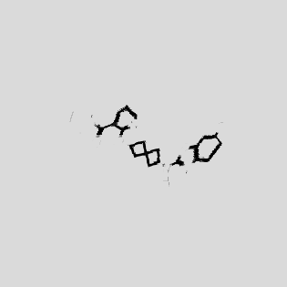 NC(=O)c1cccnc1O[C@H]1CC2(C[C@H](Nc3nc4ccc(F)cc4s3)C2)C1